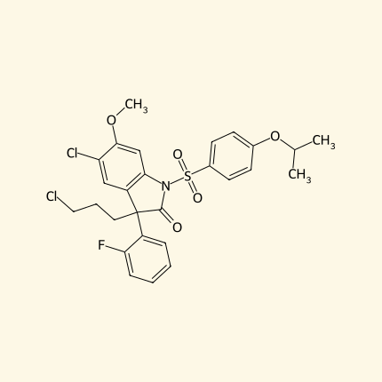 COc1cc2c(cc1Cl)C(CCCCl)(c1ccccc1F)C(=O)N2S(=O)(=O)c1ccc(OC(C)C)cc1